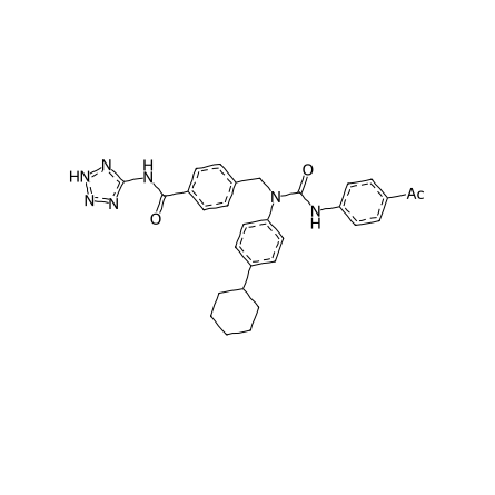 CC(=O)c1ccc(NC(=O)N(Cc2ccc(C(=O)Nc3nn[nH]n3)cc2)c2ccc(C3CCCCC3)cc2)cc1